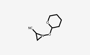 N#CC1CN1OC1CCCCO1